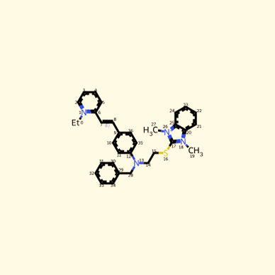 CC[n+]1ccccc1/C=C/c1ccc(N(CCSc2n(C)c3ccccc3[n+]2C)Cc2ccccc2)cc1